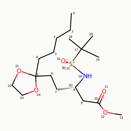 CCCCCC1(CC[C@@H](CC(=O)OC)N[S@@+]([O-])C(C)(C)C)OCCO1